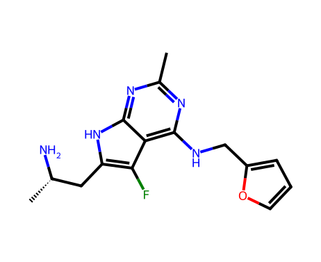 Cc1nc(NCc2ccco2)c2c(F)c(C[C@H](C)N)[nH]c2n1